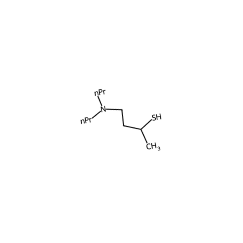 CCCN(CCC)CCC(C)S